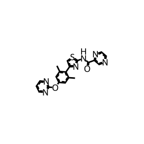 Cc1cc(Oc2ncccn2)cc(C)c1-c1csc(NC(=O)c2cnccn2)n1